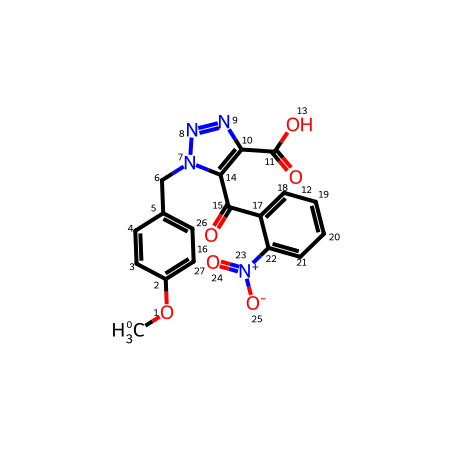 COc1ccc(Cn2nnc(C(=O)O)c2C(=O)c2ccccc2[N+](=O)[O-])cc1